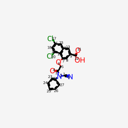 N#CN(C(=O)COc1cc(C(=O)O)cc2cc(Cl)cc(Cl)c12)c1ccccc1